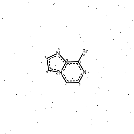 Brc1nccn2ccnc12